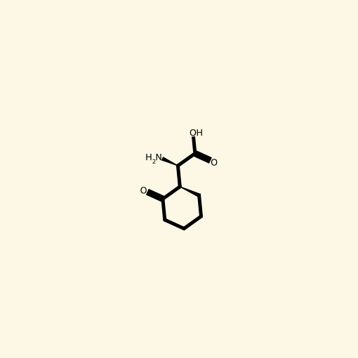 N[C@@H](C(=O)O)[C@H]1CCCCC1=O